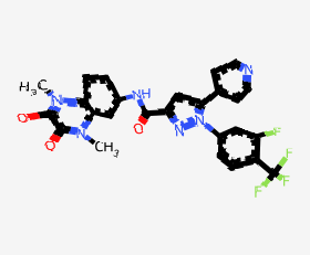 Cn1c(=O)c(=O)n(C)c2cc(NC(=O)c3cc(-c4ccncc4)n(-c4ccc(C(F)(F)F)c(F)c4)n3)ccc21